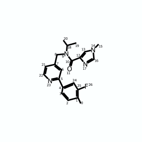 Cc1ccc(-c2cc(CN(C(=O)c3cn(C)cn3)C(C)C)ccn2)cc1F